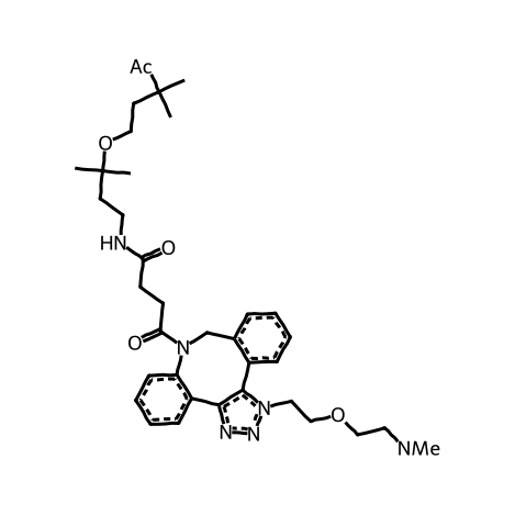 CNCCOCCn1nnc2c1-c1ccccc1CN(C(=O)CCC(=O)NCCC(C)(C)OCCC(C)(C)C(C)=O)c1ccccc1-2